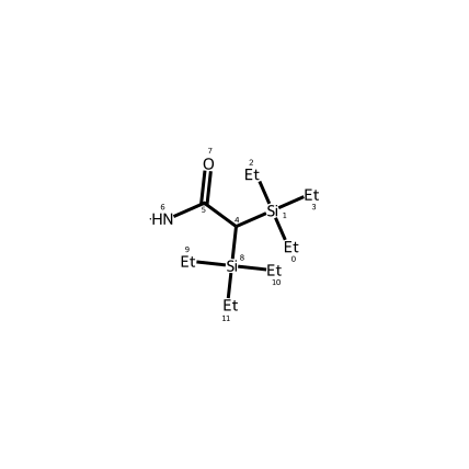 CC[Si](CC)(CC)C(C([NH])=O)[Si](CC)(CC)CC